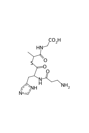 CC(SC(=O)C(Cc1cnc[nH]1)NC(=O)CCN)C(=O)NCC(=O)O